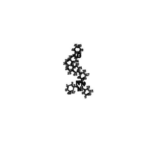 c1ccc(-c2nc(-c3ccccc3)nc(-c3cccc(-c4ccc5c(ccc6ccc7cc8c(cc7c65)oc5ccccc58)c4)c3)n2)cc1